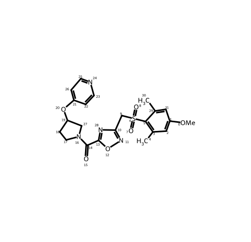 COc1cc(C)c(S(=O)(=O)Cc2noc(C(=O)N3CCC(Oc4ccncc4)C3)n2)c(C)c1